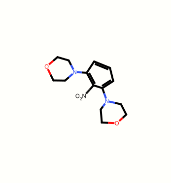 O=[N+]([O-])c1c(N2CCOCC2)cccc1N1CCOCC1